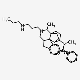 CCCNCCCN1CC2Cc3ccc(O)cc3C23C2CCC3(CCC2N(C)C(=O)c2ccccc2)C1C